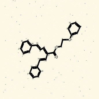 O=C(OCCOc1ccccc1)C(C=Cc1ccccc1)=CC=Cc1ccccc1